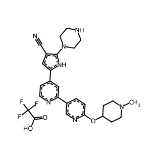 CN1CCC(Oc2ccc(-c3cc(-c4cc(C#N)c(N5CCNCC5)[nH]4)ccn3)cn2)CC1.O=C(O)C(F)(F)F